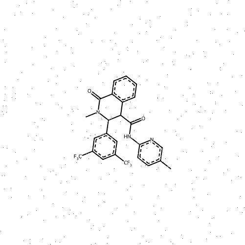 Cc1ccc(NC(=O)C2c3ccccc3C(=O)N(C)C2c2cc(C(F)(F)F)cc(C(F)(F)F)c2)nc1